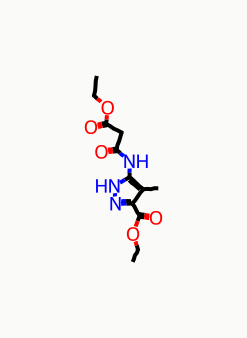 CCOC(=O)CC(=O)Nc1[nH]nc(C(=O)OCC)c1C